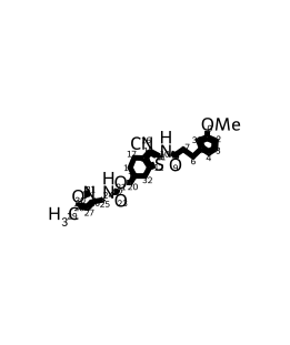 COc1cccc(CCC(=O)Nc2sc3c(c2C#N)CCC(COC(=O)NCc2cc(C)on2)C3)c1